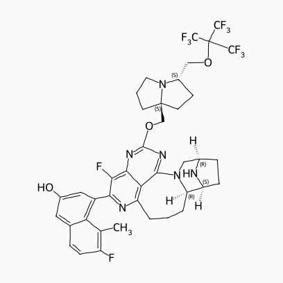 Cc1c(F)ccc2cc(O)cc(-c3nc4c5c(nc(OC[C@@]67CCCN6[C@H](COC(C(F)(F)F)(C(F)(F)F)C(F)(F)F)CC7)nc5c3F)N3C[C@H]5CC[C@H](N5)[C@H]3CCC4)c12